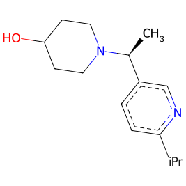 CC(C)c1ccc([C@H](C)N2CCC(O)CC2)cn1